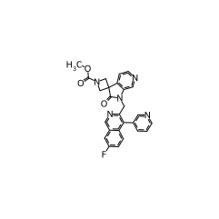 COC(=O)N1CC2(C1)C(=O)N(Cc1ncc3cc(F)ccc3c1-c1cccnc1)c1cnccc12